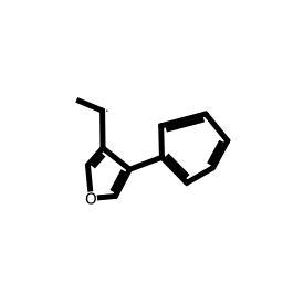 C[CH]c1cocc1-c1ccccc1